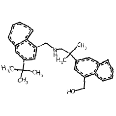 CC(C)(C)c1cc(CNCC(C)(C)c2cc(CO)c3ccccc3c2)c2ccccc2c1